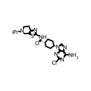 CC(C)N1CCc2nc(NC(=O)[C@H]3CC[C@@H](n4cnc5c(N)nc(Cl)nc54)CC3)sc2C1